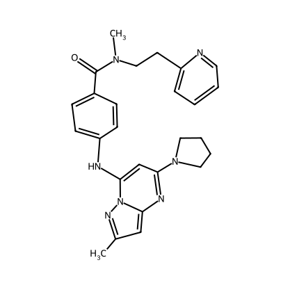 Cc1cc2nc(N3CCCC3)cc(Nc3ccc(C(=O)N(C)CCc4ccccn4)cc3)n2n1